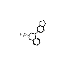 CN1Cc2ccccc2C(c2ccc3c(c2)CCC3)C1